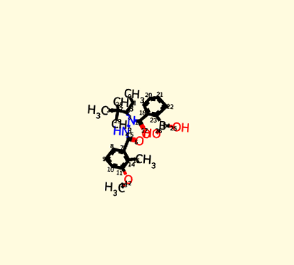 CCC(N(NC(=O)c1cccc(OC)c1C)C(=O)c1ccccc1B(O)O)C(C)(C)C